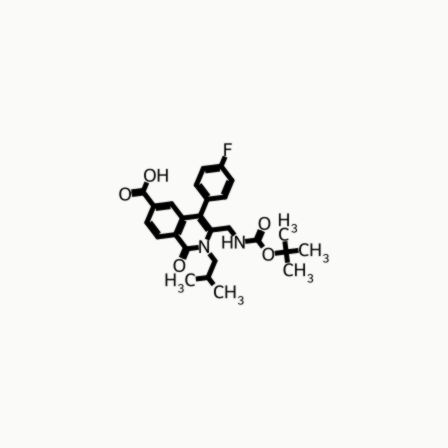 CC(C)Cn1c(CNC(=O)OC(C)(C)C)c(-c2ccc(F)cc2)c2cc(C(=O)O)ccc2c1=O